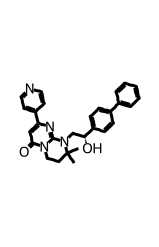 CC1(C)CCn2c(nc(-c3ccncc3)cc2=O)N1C[C@@H](O)c1ccc(-c2ccccc2)cc1